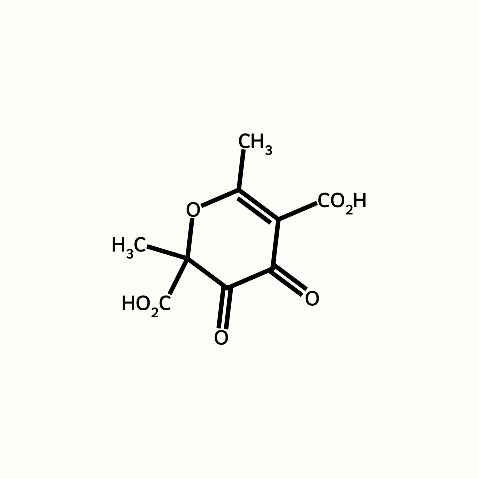 CC1=C(C(=O)O)C(=O)C(=O)C(C)(C(=O)O)O1